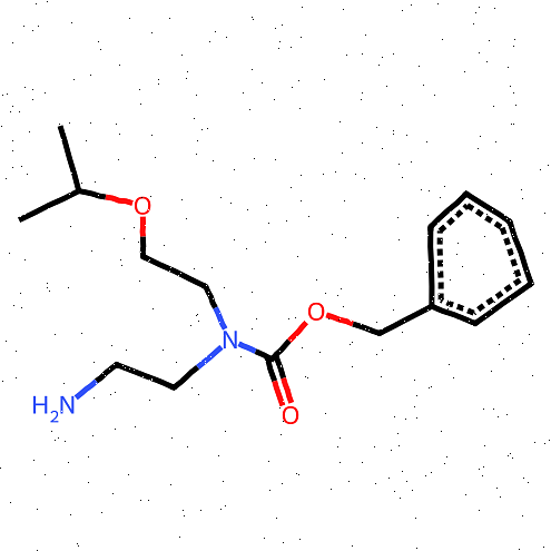 CC(C)OCCN(CCN)C(=O)OCc1ccccc1